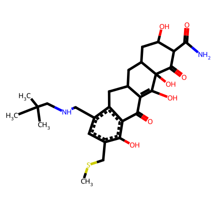 CSCc1cc(CNCC(C)(C)C)c2c(c1O)C(=O)C1=C(O)C3(O)C(=O)C(C(N)=O)C(O)CC3CC1C2